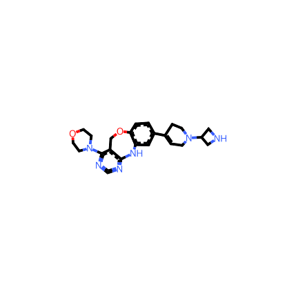 C1=C(c2ccc3c(c2)Nc2ncnc(N4CCOCC4)c2CO3)CCN(C2CNC2)C1